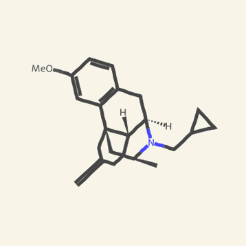 C=C1C[C@H](C)[C@H]2[C@H]3Cc4ccc(OC)cc4[C@@]2(CCN3CC2CC2)C1